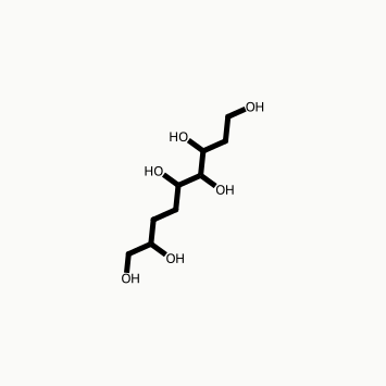 OCCC(O)C(O)C(O)CCC(O)CO